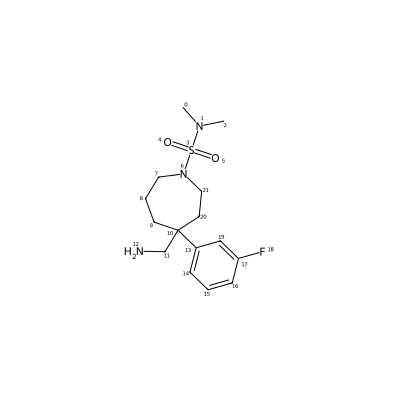 CN(C)S(=O)(=O)N1CCCC(CN)(c2cccc(F)c2)CC1